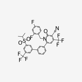 CC(C)S(=O)(=O)c1cc(-c2cccc(-c3cc(C(F)(F)F)c(C#N)c(=O)n3Cc3ccc(F)cc3F)c2)cc(C(F)(F)F)c1